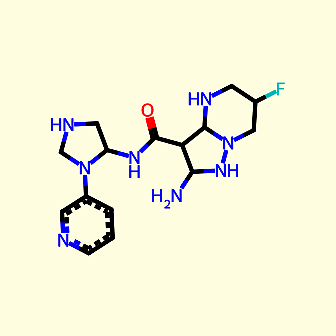 NC1NN2CC(F)CNC2C1C(=O)NC1CNCN1c1cccnc1